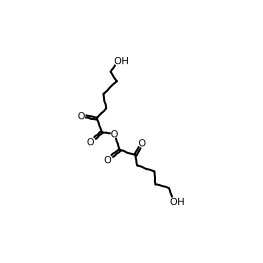 O=C(CCCCO)C(=O)OC(=O)C(=O)CCCCO